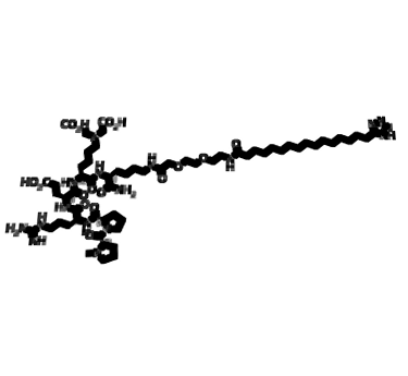 CN1CCC[C@H]1C(=O)N1CCC[C@H]1C(=O)N[C@@H](CCCNC(=N)N)C(=O)N[C@@H](CCC(=O)O)C(=O)N[C@@H](CCCCN(CC(=O)O)CC(=O)O)C(=O)N[C@@H](CCCCNC(=O)COCCOCCNC(=O)CCCCCCCCCCCCCCCc1nnn[nH]1)C(N)=O